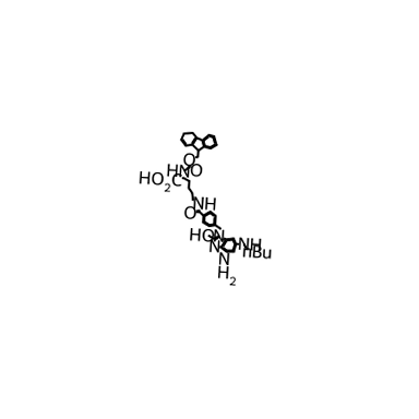 CCCCNc1cc(N)c2nc(O)n(Cc3ccc(C(=O)NCCCC[C@H](NC(=O)OCC4C5=C(CCC=C5)c5ccccc54)C(=O)O)cc3)c2c1